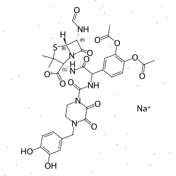 CC(=O)Oc1ccc(C(NC(=O)N2CCN(Cc3ccc(O)c(O)c3)C(=O)C2=O)C(=O)N[C@@]2(C(=O)[O-])N3C(=O)[C@@H](NC=O)[C@H]3SC2(C)C)cc1OC(C)=O.[Na+]